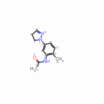 CC(=O)Nc1cc(N2CCC=N2)ccc1C